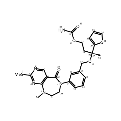 CSc1ncc2c(n1)N(C)CCN(c1cccc(CO[C@](C)(CCOC(N)=O)c3cccs3)c1)C2=O